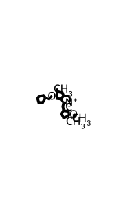 COc1c(C)ccc2cc3[n+](cc12)CCc1cc(C)c(OCc2ccccc2)cc1-3